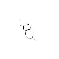 NCc1ccc2c(c1)CCC(O)N2